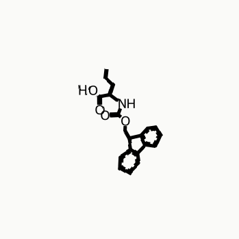 CCCC(NC(=O)OCC1c2ccccc2-c2ccccc21)C(=O)O